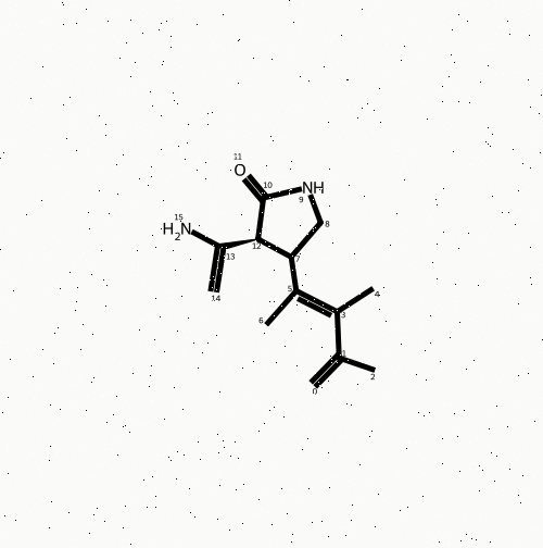 C=C(C)/C(C)=C(\C)C1CNC(=O)[C@@H]1C(=C)N